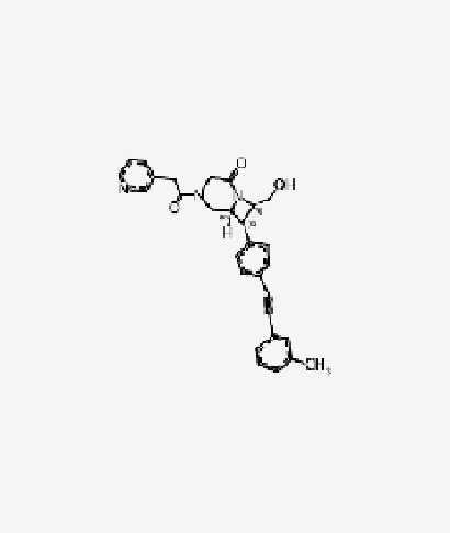 Cc1cccc(C#Cc2ccc([C@@H]3[C@H](CO)N4C(=O)CN(C(=O)Cc5cccnc5)C[C@@H]34)cc2)c1